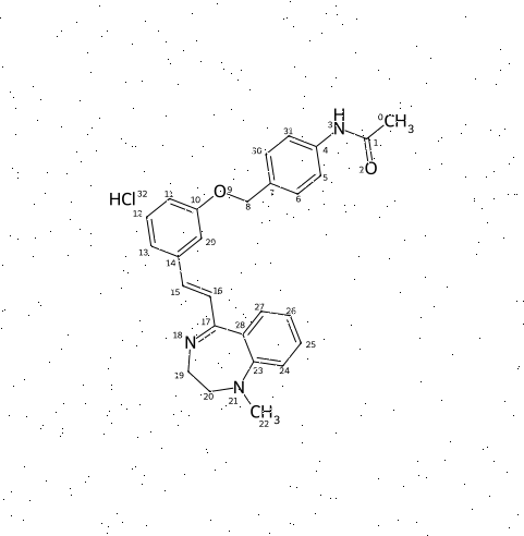 CC(=O)Nc1ccc(COc2cccc(C=CC3=NCCN(C)c4ccccc43)c2)cc1.Cl